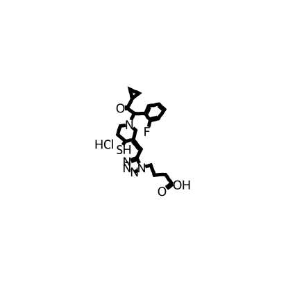 Cl.O=C(O)CCCn1nnnc1C=C1CN(C(C(=O)C2CC2)c2ccccc2F)CCC1S